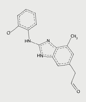 Cc1cc(CC=O)cc2[nH]c(Nc3ccccc3Cl)nc12